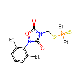 CCc1cccc(CC)c1-n1oc(=O)n(CSP(=S)(CC)CC)c1=O